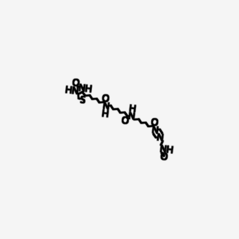 O=CNCCN1CCN(C(=O)CCCCCNC(=O)CCCCCNC(=O)CCCCC2SCC3NC(=O)NC32)CC1